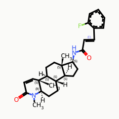 CN1C(=O)C=C[C@]2(C)[C@H]3CC[C@]4(C)[C@@H](NC(=O)/C=C/c5ccccc5F)CC[C@H]4[C@@H]3CC[C@@H]12